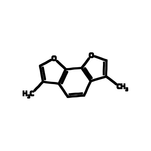 Cc1coc2c1ccc1c(C)coc12